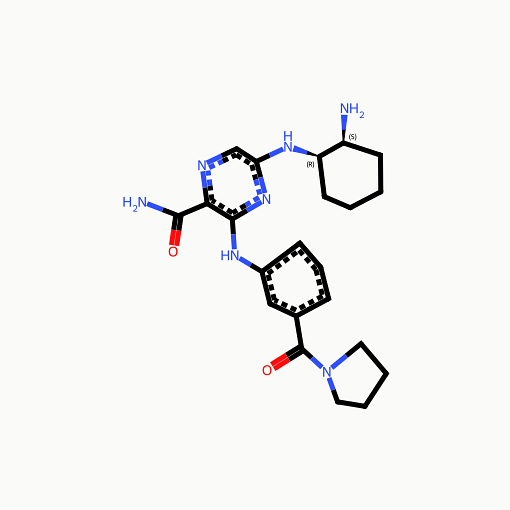 NC(=O)c1ncc(N[C@@H]2CCCC[C@@H]2N)nc1Nc1cccc(C(=O)N2CCCC2)c1